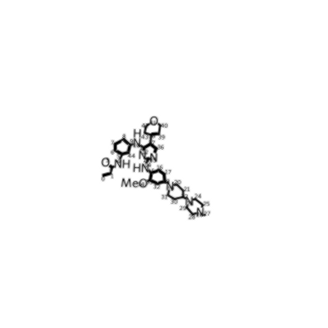 C=CC(=O)Nc1cccc(Nc2nc(Nc3ccc(N4CCC(N5CCN(C)CC5)CC4)cc3OC)ncc2C2=CCOCC2)c1